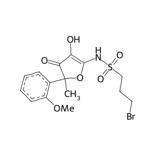 COc1ccccc1C1(C)OC(NS(=O)(=O)CCCBr)=C(O)C1=O